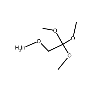 COC(C[O][InH2])(OC)OC